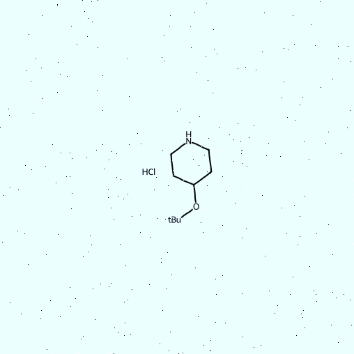 CC(C)(C)OC1CCNCC1.Cl